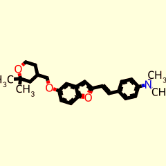 CN(C)c1ccc(C=Cc2cc3cc(OCC4CCOC(C)(C)C4)ccc3o2)cc1